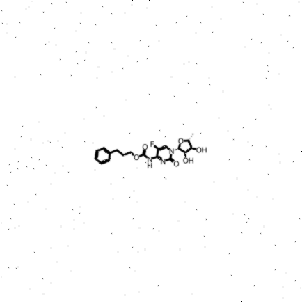 C[C@H]1O[C@@H](n2cc(F)c(NC(=O)OCCCc3ccccc3)nc2=O)C(O)C1O